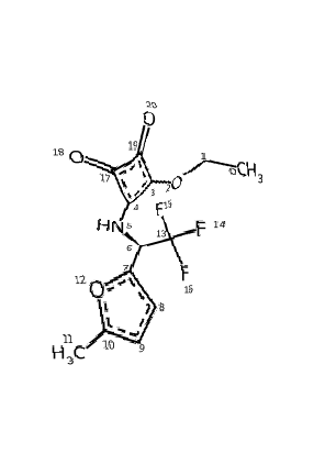 CCOc1c(N[C@H](c2ccc(C)o2)C(F)(F)F)c(=O)c1=O